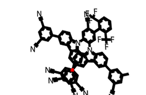 Cc1cc(C#N)cc(-c2ccc3c(c2)c2cc(-c4cc(C#N)cc(C#N)c4)ccc2n3-c2cc(-c3c(C(F)(F)F)cccc3C(F)(F)F)c(C#N)cc2-n2c3ccc(-c4cc(C#N)cc(C#N)c4)cc3c3cc(-c4cc(C#N)cc(C#N)c4)ccc32)c1